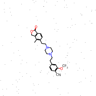 Cc1c(CCN2CCN(CCc3ccc(C#N)c(OC(F)(F)F)c3)CC2)ccc2c1COC2=O